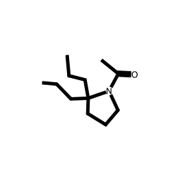 CCCC1(CCC)CCCN1C(C)=O